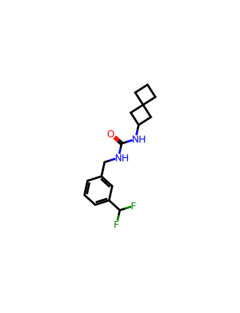 O=C(NCc1cccc(C(F)F)c1)NC1CC2(CCC2)C1